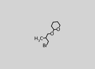 CC(CBr)COC1CCCCO1